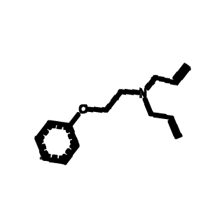 C=CCN(CC=C)CCOc1cc[c]cc1